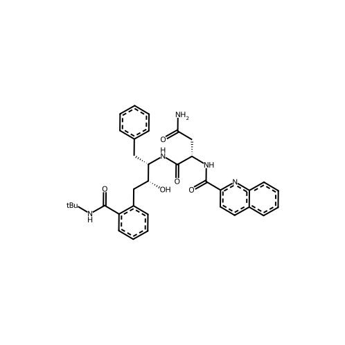 CC(C)(C)NC(=O)c1ccccc1C[C@@H](O)[C@H](Cc1ccccc1)NC(=O)[C@H](CC(N)=O)NC(=O)c1ccc2ccccc2n1